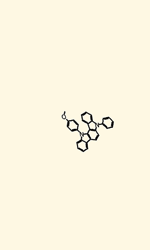 COc1ccc(-n2c3ccccc3c3ccc4c(c5ccccc5n4-c4ccccc4)c32)cc1